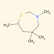 CC1CC(C)(C)CN(C)CS1